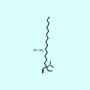 C=CC(CC)(CCCCCCCCCCCCCC)N(C)C.Cl.O